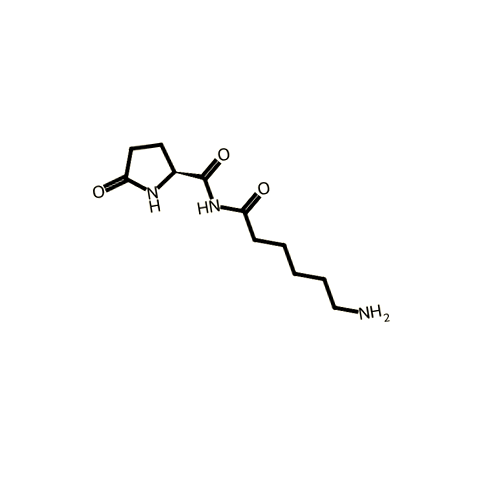 NCCCCCC(=O)NC(=O)[C@@H]1CCC(=O)N1